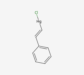 [Cl][Hg]/[CH]=C/c1ccccc1